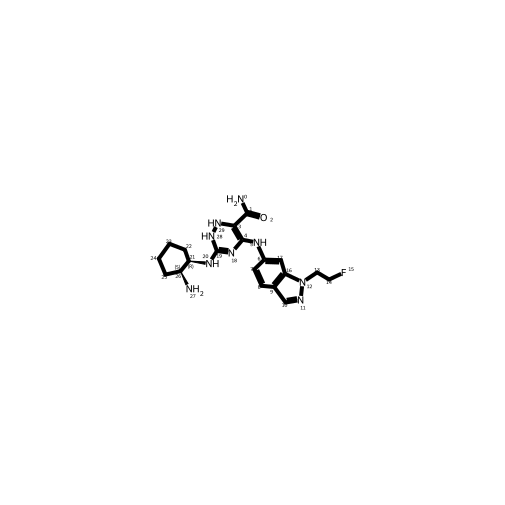 NC(=O)C1=C(Nc2ccc3cnn(CCF)c3c2)N=C(N[C@@H]2CCCC[C@@H]2N)NN1